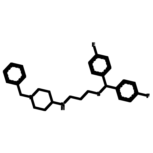 Fc1ccc(C(SCCCNC2CCN(Cc3ccccc3)CC2)c2ccc(F)cc2)cc1